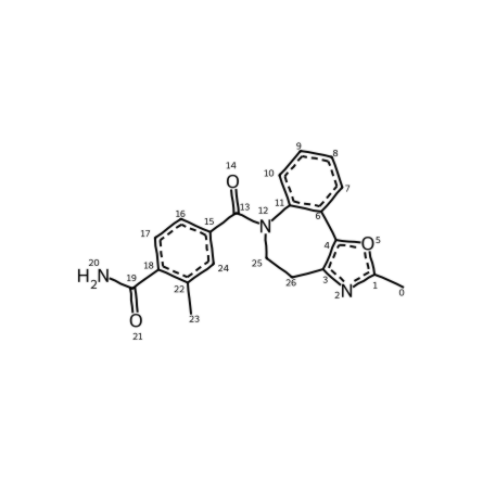 Cc1nc2c(o1)-c1ccccc1N(C(=O)c1ccc(C(N)=O)c(C)c1)CC2